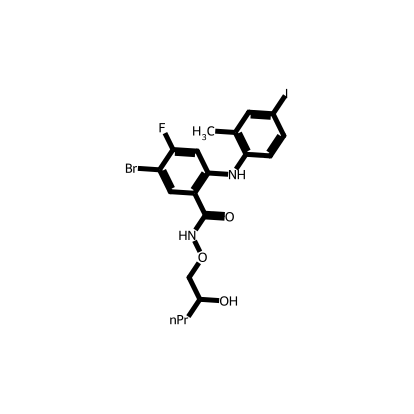 CCCC(O)CONC(=O)c1cc(Br)c(F)cc1Nc1ccc(I)cc1C